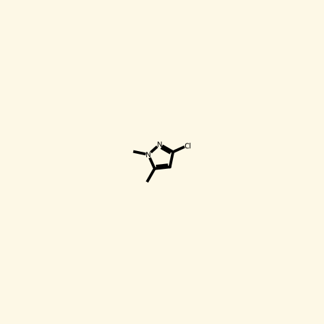 Cc1cc(Cl)nn1C